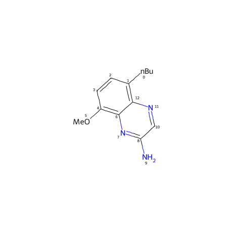 CCCCc1ccc(OC)c2nc(N)cnc12